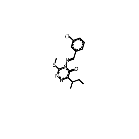 CCC(C)c1nnc(SC)n(N=Cc2cccc(Cl)c2)c1=O